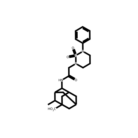 CC1C2CC3CC(CC1(C(=O)O)C3)C2NC(=O)CN1CCCN(c2ccccc2)S1(=O)=O